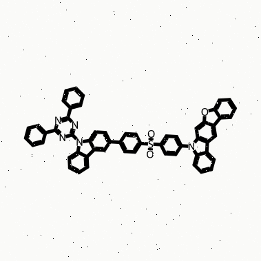 O=S(=O)(c1ccc(-c2ccc3c(c2)c2ccccc2n3-c2nc(-c3ccccc3)nc(-c3ccccc3)n2)cc1)c1ccc(-n2c3ccccc3c3cc4c(cc32)oc2ccccc24)cc1